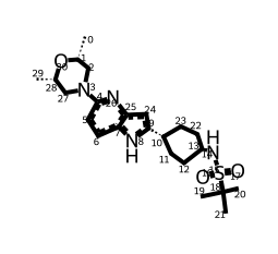 C[C@@H]1CN(c2ccc3[nH]c([C@H]4CC[C@H](NS(=O)(=O)C(C)(C)C)CC4)cc3n2)C[C@H](C)O1